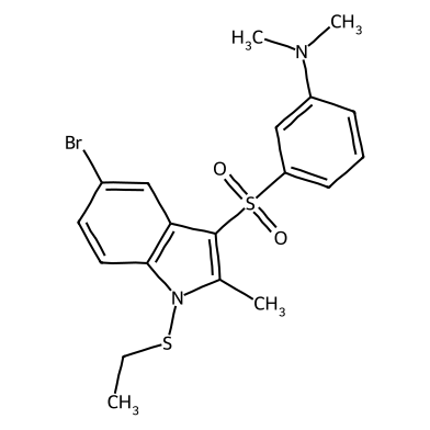 CCSn1c(C)c(S(=O)(=O)c2cccc(N(C)C)c2)c2cc(Br)ccc21